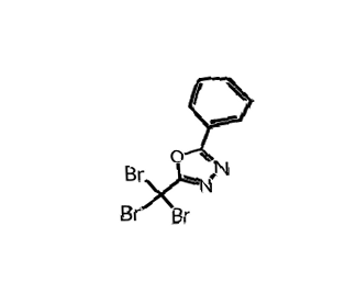 BrC(Br)(Br)c1nnc(-c2ccccc2)o1